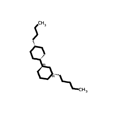 CCCCC[C@@H]1CCC[C@@H]([C@H]2CC[C@@H](CCCC)CC2)C1